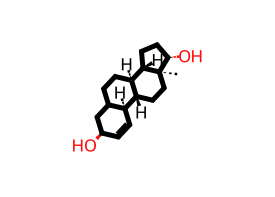 C[C@]12CC[C@H]3[C@@H](CCC4C[C@H](O)C=C[C@@H]43)[C@@H]1CC[C@@H]2O